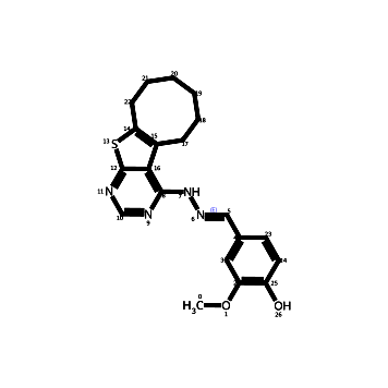 COc1cc(/C=N/Nc2ncnc3sc4c(c23)CCCCCC4)ccc1O